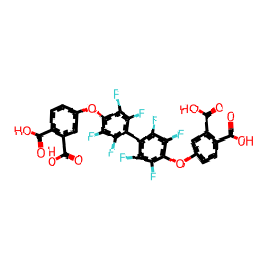 O=C(O)c1ccc(Oc2c(F)c(F)c(-c3c(F)c(F)c(Oc4ccc(C(=O)O)c(C(=O)O)c4)c(F)c3F)c(F)c2F)cc1C(=O)O